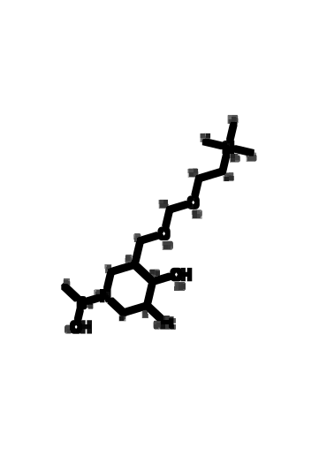 CCC1CN(B(C)O)CC(COCOCC[Si](C)(C)C)C1O